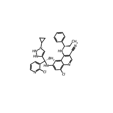 B[C@@](Nc1cc(Cl)c2ncc(C#N)c(N[C@H](CC)c3ccccc3)c2c1)(C1=CN(C2CC2)NN1)c1cccnc1Cl